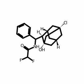 O=C(NC(c1ccccc1)[C@H]1[C@H]2C[C@@H]3C[C@](Cl)(C2)C[C@@]1(O)C3)C(F)F